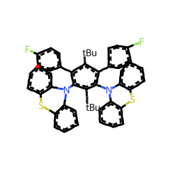 CC(C)(C)c1c(-c2ccc(F)cc2)c(N2c3ccccc3Sc3ccccc32)c(C(C)(C)C)c(N2c3ccccc3Sc3ccccc32)c1-c1ccc(F)cc1